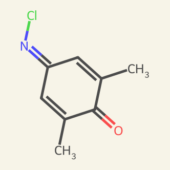 CC1=CC(=NCl)C=C(C)C1=O